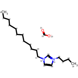 CCCCCCCCCCCCn1cc[n+](CCCC)c1.O=C[O-]